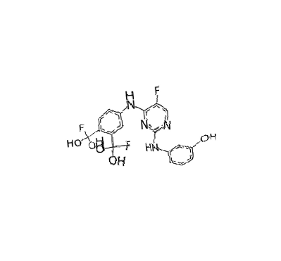 Oc1cccc(Nc2ncc(F)c(Nc3ccc(C(O)(O)F)c(C(O)(O)F)c3)n2)c1